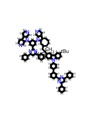 CC(C)(C)c1ccc2c(c1)c1cc(C(C)(C)C/C3=C/c4c(c5ccncc5n4-c4cc(-c5nc(-c6ccccc6)cc(-c6ccccc6)n5)cc(-n5c6cnccc6c6ccncc65)c4)/C=C\CC3)ccc1n2-c1ccc(-c2cccc(-c3nc(-c4ccccc4)cc(-c4ccccc4)n3)c2)cc1